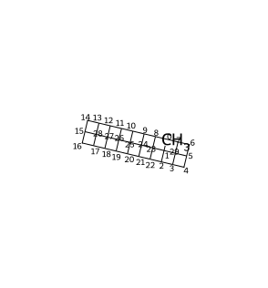 CC12C3C4CC5CC(C6C7C8C9C%10C%11CC%12CC%13C%14C%15C%16C%17C3C61C7%17C8%16C9%15C%10%14C%12%11%13)C542